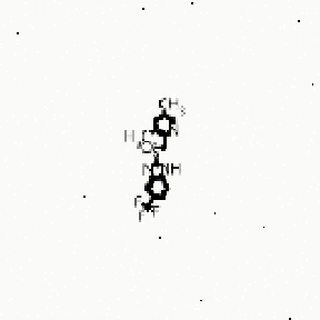 Cc1cnc(C[S+]([O-])c2nc3cc(C(F)(F)F)ccc3[nH]2)c(C)c1